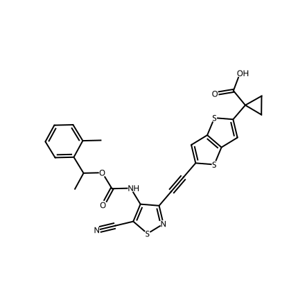 Cc1ccccc1C(C)OC(=O)Nc1c(C#Cc2cc3sc(C4(C(=O)O)CC4)cc3s2)nsc1C#N